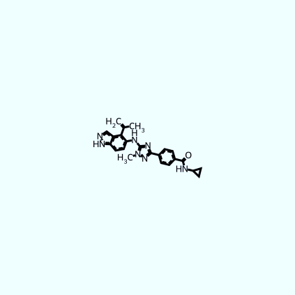 C=C(C)c1c(Nc2nc(-c3ccc(C(=O)NC4CC4)cc3)nn2C)ccc2[nH]ncc12